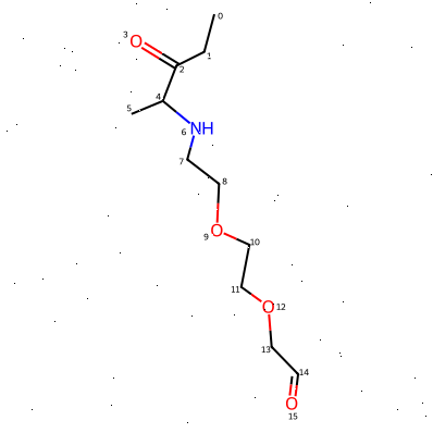 CCC(=O)C(C)NCCOCCOCC=O